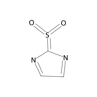 O=S(=O)=C1N=CC=N1